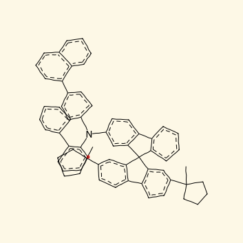 CC1(c2ccc3c(c2)C2(c4ccccc4-c4ccc(N(c5ccc(-c6cccc7ccccc67)cc5)c5ccccc5-c5ccccc5)cc42)c2cc(C4(C)CCCC4)ccc2-3)CCCC1